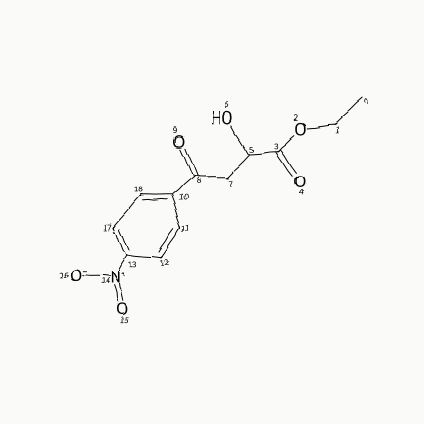 CCOC(=O)C(O)CC(=O)c1ccc([N+](=O)[O-])cc1